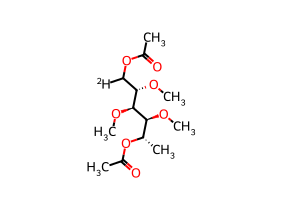 [2H]C(OC(C)=O)[C@H](OC)[C@H](OC)[C@@H](OC)[C@H](C)OC(C)=O